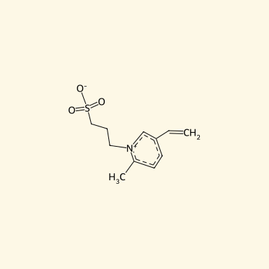 C=Cc1ccc(C)[n+](CCCS(=O)(=O)[O-])c1